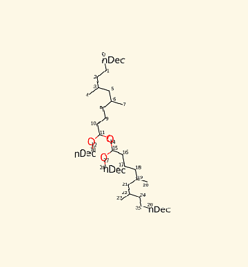 CCCCCCCCCCCCC(C)CC(C)CCCC(OCCCCCCCCCC)OC(CCCC(C)CC(C)CCCCCCCCCCCC)OCCCCCCCCCC